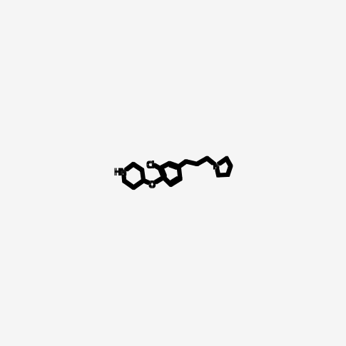 Clc1cc(CCCN2CCCC2)ccc1OC1CCNCC1